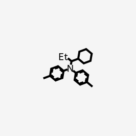 CCC(C1CCCCC1)N(c1ccc(C)cc1)c1ccc(C)cc1